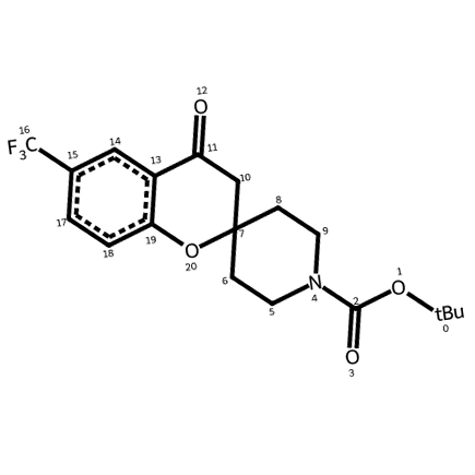 CC(C)(C)OC(=O)N1CCC2(CC1)CC(=O)c1cc(C(F)(F)F)ccc1O2